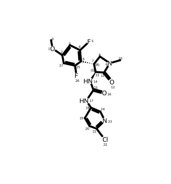 COc1cc(F)c([C@@H]2CN(C)C(=O)[C@H]2NC(=O)Nc2ccc(Cl)nc2)c(F)c1